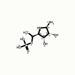 B[C@@H]1N[C@H](C(C)OP(=O)(O)O)[C@@H](O)[C@H]1O